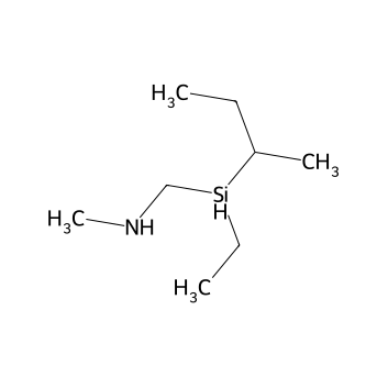 CCC(C)[SiH](CC)CNC